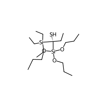 CCCO[Si](OCCC)(OCCC)[C@](S)(CC)[Si](CC)(CC)CC